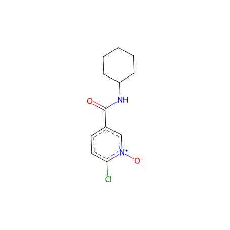 O=C(NC1CCCCC1)c1ccc(Cl)[n+]([O-])c1